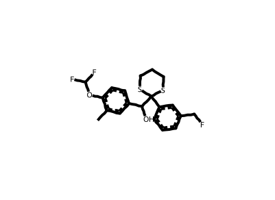 Cc1cc(C(O)C2(c3cccc(CF)c3)SCCCS2)ccc1OC(F)F